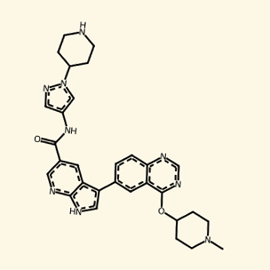 CN1CCC(Oc2ncnc3ccc(-c4c[nH]c5ncc(C(=O)Nc6cnn(C7CCNCC7)c6)cc45)cc23)CC1